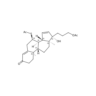 CC(=O)OCCC[C@]1(O)C=C[C@H]2[C@@H]3[C@H](SC(C)=O)CC4=CC(=O)CC[C@]4(C)[C@H]3CC[C@@]21C